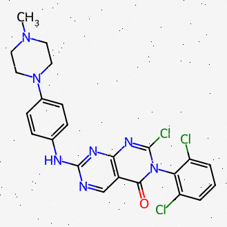 CN1CCN(c2ccc(Nc3ncc4c(=O)n(-c5c(Cl)cccc5Cl)c(Cl)nc4n3)cc2)CC1